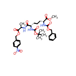 COC(=O)[C@@H](CCC[C@H](NC(=O)OC(C)(C)C)C(=O)N[C@H](C)C(=O)OCc1ccc([N+](=O)[O-])cc1)NC(=O)OCc1ccccc1